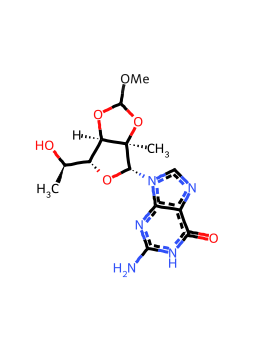 COC1O[C@@H]2[C@@H]([C@@H](C)O)O[C@@H](n3cnc4c(=O)[nH]c(N)nc43)[C@]2(C)O1